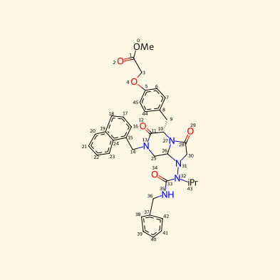 COC(=O)COc1ccc(C[C@H]2C(=O)N(Cc3cccc4ccccc34)CC3N2C(=O)CN3N(C(=O)NCc2ccccc2)C(C)C)cc1